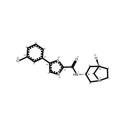 O=C(N[C@@H]1C[C@@H]2CCN(C2)C1)c1ncc(-c2cccc(Cl)c2)s1